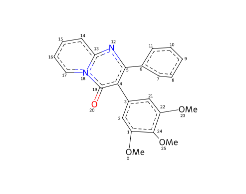 COc1cc(-c2c(-c3ccccc3)nc3ccccn3c2=O)cc(OC)c1OC